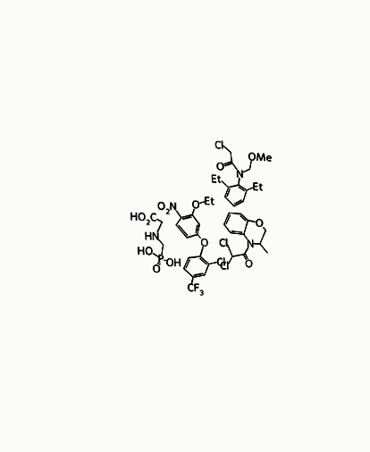 CC1COc2ccccc2N1C(=O)C(Cl)Cl.CCOc1cc(Oc2ccc(C(F)(F)F)cc2Cl)ccc1[N+](=O)[O-].CCc1cccc(CC)c1N(COC)C(=O)CCl.O=C(O)CNCP(=O)(O)O